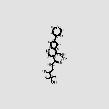 CC(C)Nc1c(C(=O)NCC(F)C(C)(C)O)cnn2cc(-c3ccncc3)cc12